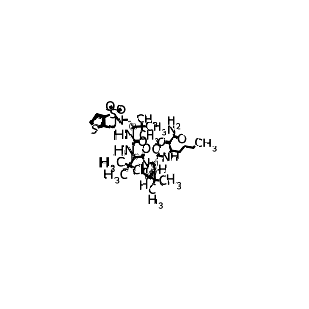 CCCCC(NC(=O)[C@@H]1[C@@H]2[C@H](CN1C(=O)[C@@H](NC(=O)N[C@H](CN1Cc3sccc3S1(=O)=O)C(C)(C)C)C(C)(C)C)C2(C)C)C(=O)C(N)=O